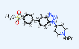 CCCN1CCC(n2nnc3cc(-c4ccc(S(C)(=O)=O)cc4)ccc32)CC1